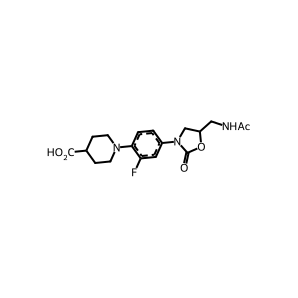 CC(=O)NCC1CN(c2ccc(N3CCC(C(=O)O)CC3)c(F)c2)C(=O)O1